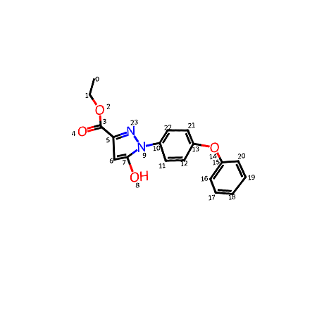 CCOC(=O)c1cc(O)n(-c2ccc(Oc3ccccc3)cc2)n1